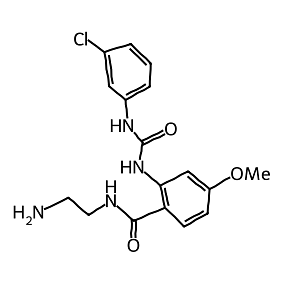 COc1ccc(C(=O)NCCN)c(NC(=O)Nc2cccc(Cl)c2)c1